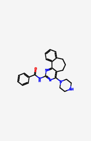 O=C(Nc1nc2c(c(N3CCNCC3)n1)CCCc1ccccc1-2)c1ccccc1